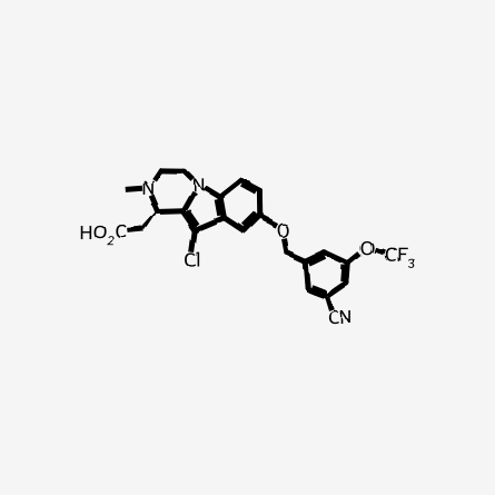 CN1CCn2c(c(Cl)c3cc(OCc4cc(C#N)cc(OC(F)(F)F)c4)ccc32)[C@H]1CC(=O)O